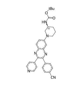 CC(C)(C)OC(=O)N[C@H]1CCCN(c2ccc3nc(-c4ccncc4)c(-c4ccc(C#N)cc4)nc3c2)C1